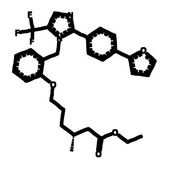 CCOC(=O)C[C@H](C)CCCOc1ccccc1Cn1c(C(F)(F)F)cnc1-c1ccc(-c2ccco2)cc1